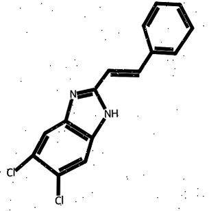 Clc1cc2nc(/C=C/c3ccccc3)[nH]c2cc1Cl